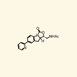 CC(=O)NC[C@@H]1OC(=O)N2c3ccc(-c4ccccn4)cc3C[C@@H]12